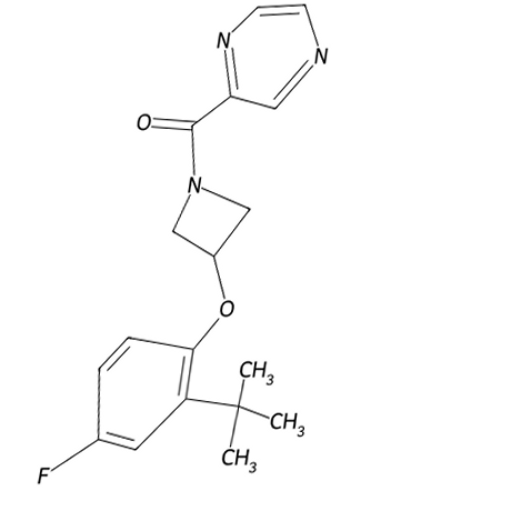 CC(C)(C)c1cc(F)ccc1OC1CN(C(=O)c2cnccn2)C1